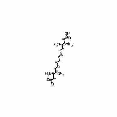 N[C@@H](CSSCCSSC[C@H](N)[C@@H](N)CS(=O)O)[C@@H](N)CS(=O)O